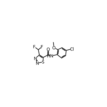 COc1cc(Cl)ccc1NC(=O)c1snnc1C(F)F